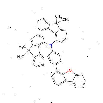 CC1(C)c2ccccc2-c2c(N(c3ccc(-c4cccc5c4oc4ccccc45)cc3)c3cccc4c3-c3ccccc3C4(C)C)cccc21